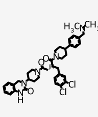 CN(C)Cc1ccc(C2CCN(C(=O)[C@@H](CC(=O)N3CCC(N4Cc5ccccc5NC4=O)CC3)Cc3ccc(Cl)c(Cl)c3)CC2)cc1